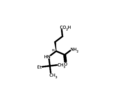 CCC(C)(C)N[C@@H](CCC(=O)O)C(N)=O